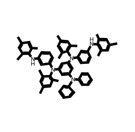 Cc1cc(C)c(Nc2cccc(N(c3cc(N(c4ccccc4)c4ccccc4)cc(N(c4cccc(Nc5c(C)cc(C)cc5C)c4)c4c(C)cc(C)cc4C)c3)c3c(C)cc(C)cc3C)c2)c(C)c1